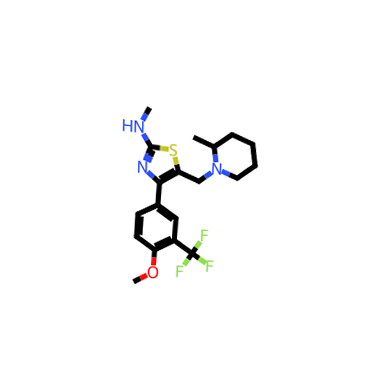 CNc1nc(-c2ccc(OC)c(C(F)(F)F)c2)c(CN2CCCCC2C)s1